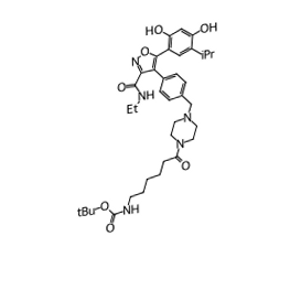 CCNC(=O)c1noc(-c2cc(C(C)C)c(O)cc2O)c1-c1ccc(CN2CCN(C(=O)CCCCCNC(=O)OC(C)(C)C)CC2)cc1